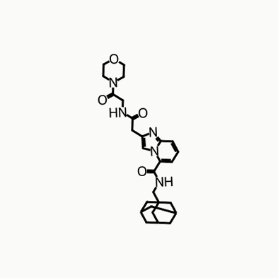 O=C(Cc1cn2c(C(=O)NCC34CC5CC(CC(C5)C3)C4)cccc2n1)NCC(=O)N1CCOCC1